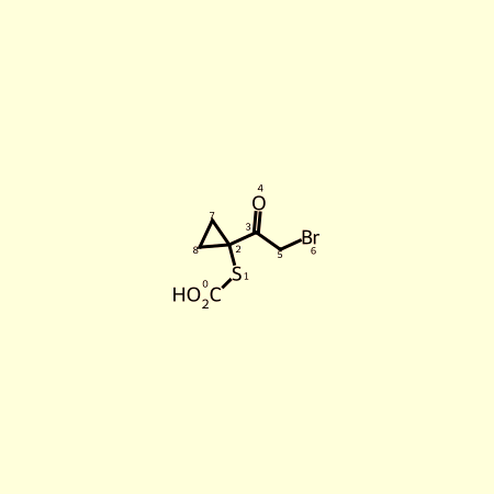 O=C(O)SC1(C(=O)CBr)CC1